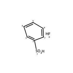 F.O=S(=O)(O)c1ccccc1